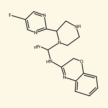 CCCC(NC1=Nc2ccccc2OC1)N1CCNCC1c1ncc(F)cn1